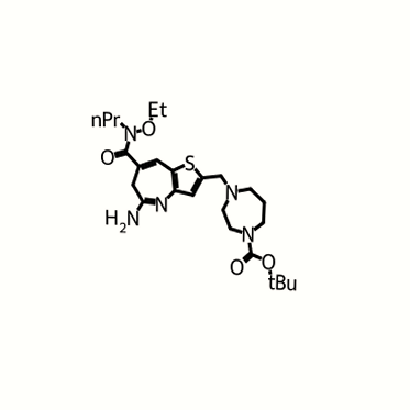 CCCN(OCC)C(=O)C1=Cc2sc(CN3CCCN(C(=O)OC(C)(C)C)CC3)cc2N=C(N)C1